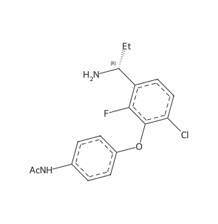 CC[C@@H](N)c1ccc(Cl)c(Oc2ccc(NC(C)=O)cc2)c1F